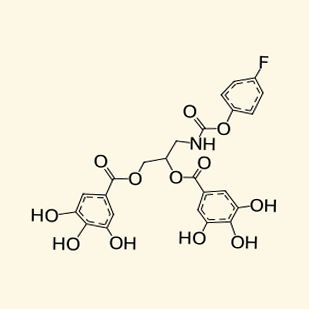 O=C(NCC(COC(=O)c1cc(O)c(O)c(O)c1)OC(=O)c1cc(O)c(O)c(O)c1)Oc1ccc(F)cc1